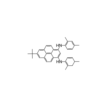 CC1=C(Nc2cc(Nc3ccc(C)cc3C)c3ccc4cc(C(C)(C)C)cc5ccc2c3c54)C=CC(C)C1